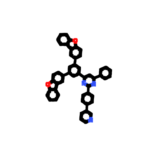 c1ccc(-c2cc(-c3cc(-c4ccc5oc6ccccc6c5c4)cc(-c4ccc5oc6ccccc6c5c4)c3)nc(-c3ccc(-c4cccnc4)cc3)n2)cc1